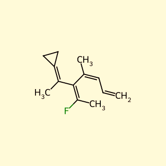 C=C/C=C(C)\C(C(C)=C1CC1)=C(/C)F